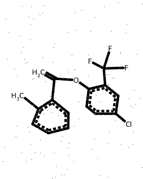 C=C(Oc1ccc(Cl)cc1C(F)(F)F)c1ccccc1C